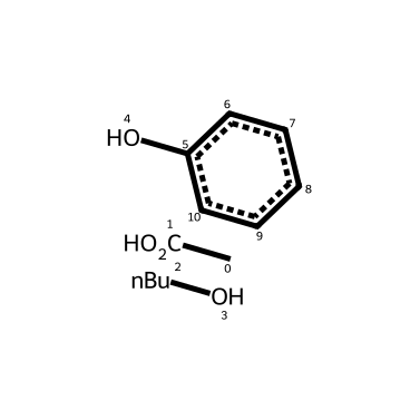 CC(=O)O.CCCCO.Oc1ccccc1